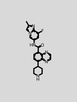 Cc1cn2cc(NC(=O)c3ccc(C4CCNCC4)c4nccnc34)cc(F)c2n1